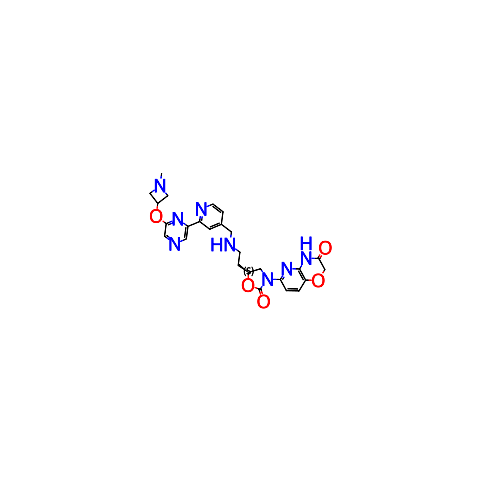 CN1CC(Oc2cncc(-c3cc(CNCC[C@H]4CN(c5ccc6c(n5)NC(=O)CO6)C(=O)O4)ccn3)n2)C1